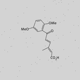 COc1ccc(OC)c(C(=O)/C=C/C(C)=C/C(=O)O)c1